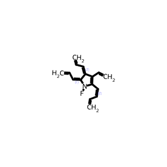 C=C/C=C\c1c(C=C)c(=C/C=C)/c(=C\C=C)n1F